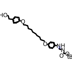 CC(C)(C)OC(=O)N/C=N/c1ccc(OCCCCCCCCCCOc2ccc(CCO)cc2)cc1